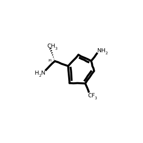 C[C@@H](N)c1cc(N)cc(C(F)(F)F)c1